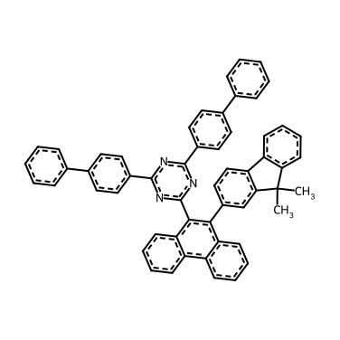 CC1(C)c2ccccc2-c2ccc(-c3c(-c4nc(-c5ccc(-c6ccccc6)cc5)nc(-c5ccc(-c6ccccc6)cc5)n4)c4ccccc4c4ccccc34)cc21